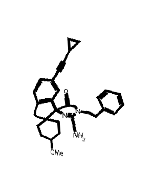 COC1CCC2(CC1)Cc1ccc(C#CC3CC3)cc1C21N=C(N)N(Cc2ccccc2)CC1=O